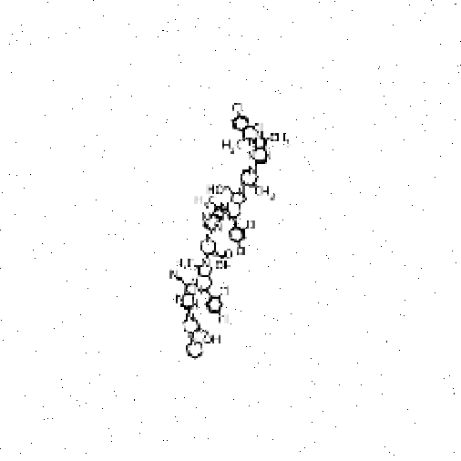 Cc1nn(C(C)c2ccc(Cl)cc2Cl)c2nc(N3CC[C@H](N4CC(CC(c5ccc(Cl)cc5Cl)n5nc(C)c6ncc(N7CCC(N8CC(CC(c9ccc(Cl)cc9Cl)n9nc(C#N)c%10ncc(N%11CC[C@H](N%12CCCCC%12)[C@H](CO)C%11)nc%109)C[C@H]8C)[C@H](C(=O)O)C7)nc65)CC4CO)[C@H](C)C3)cnc12